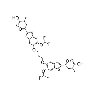 C[C@@H](CC(=O)c1cc2cc(OCCCOc3cc4cc(C(=O)C[C@H](C)C(=O)O)sc4cc3OC(F)F)c(OC(F)F)cc2s1)C(=O)O